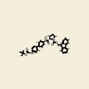 CC(C)(C)OC(=O)Nc1ccc(-c2ccc(NC(=O)[C@@H]3CCCN3C(=O)OCC3c4ccccc4-c4ccccc43)cc2)cc1